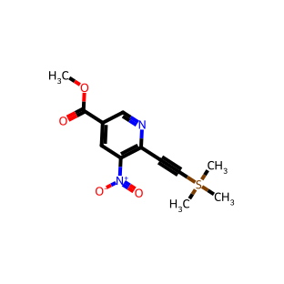 COC(=O)c1cnc(C#CS(C)(C)C)c([N+](=O)[O-])c1